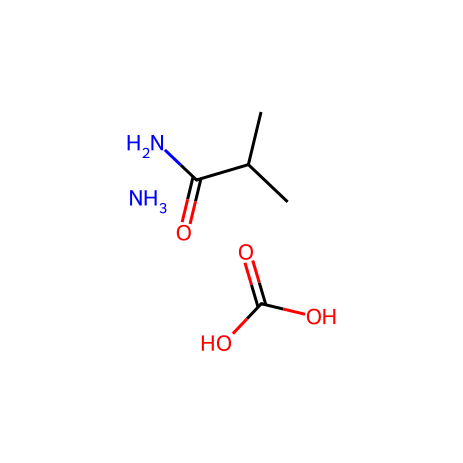 CC(C)C(N)=O.N.O=C(O)O